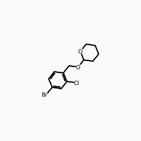 Clc1cc(Br)ccc1COC1CCCCO1